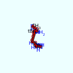 Cc1ncsc1-c1ccc(CNC(=O)C2CC(N)CN2C(=O)C(NC(=O)COCCCOCCCCCOc2cccc(CNC(=O)c3cccc(NC4(C(=N)NC(=N)c5ccncc5)CCNCC4)c3)c2)C(C)(C)C)cc1